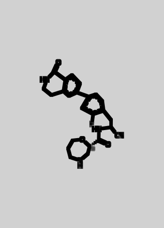 N#CC(Cc1ccc(-c2ccc3c(c2)CCNC3=O)cc1F)NC(=O)[C@@H]1CNCCCO1